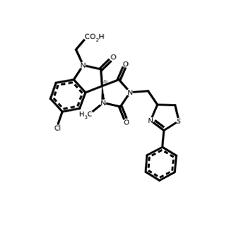 CN1C(=O)N(CC2CSC(c3ccccc3)=N2)C(=O)[C@]12C(=O)N(CC(=O)O)c1ccc(Cl)cc12